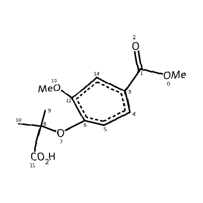 COC(=O)c1ccc(OC(C)(C)C(=O)O)c(OC)c1